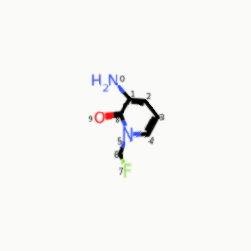 Nc1cccn(CF)c1=O